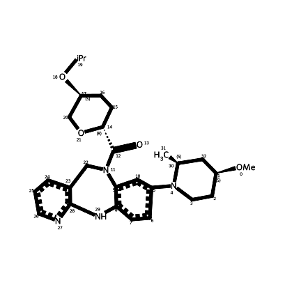 CO[C@H]1CCN(c2ccc3c(c2)N(C(=O)[C@H]2CC[C@H](OC(C)C)CO2)Cc2cccnc2N3)[C@@H](C)C1